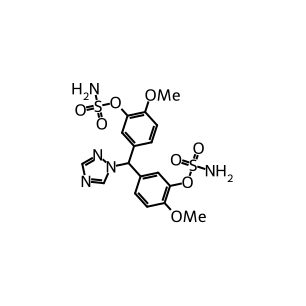 COc1ccc(C(c2ccc(OC)c(OS(N)(=O)=O)c2)n2cncn2)cc1OS(N)(=O)=O